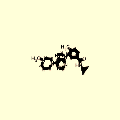 Cc1ccc(C(=O)NC2CC2)cc1-n1cnc2c(N3CCCN(C)CC3)ncnc21